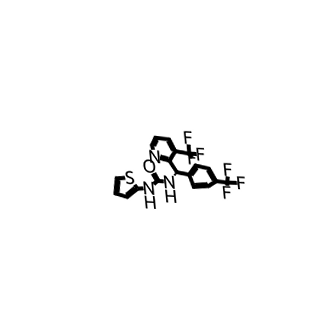 O=C(Nc1cccs1)N[C@@H](c1ccc(C(F)(F)F)cc1)c1ncccc1C(F)(F)F